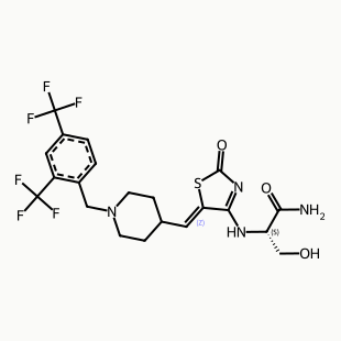 NC(=O)[C@H](CO)NC1=NC(=O)S/C1=C\C1CCN(Cc2ccc(C(F)(F)F)cc2C(F)(F)F)CC1